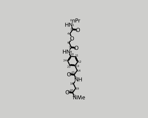 CCCNC(=O)COCC(=O)Nc1ccc(CC(=O)NCCC(=O)NC)cc1